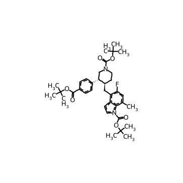 Cc1cc(F)c(C[C@@H]2CCN(C(=O)OC(C)(C)C)C[C@H]2c2ccc(C(=O)OC(C)(C)C)cc2)c2ccn(C(=O)OC(C)(C)C)c12